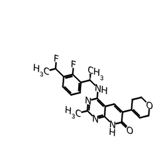 Cc1nc(N[C@H](C)c2cccc(C(C)F)c2F)c2cc(C3=CCOCC3)c(=O)[nH]c2n1